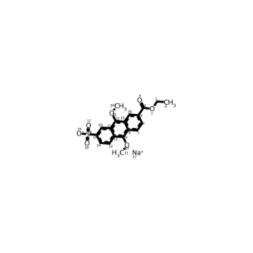 CCOC(=O)c1ccc2c(OC)c3ccc(S(=O)(=O)[O-])cc3c(OC)c2c1.[Na+]